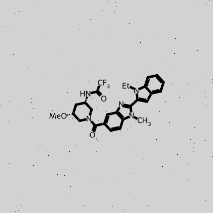 CCn1c(-c2nc3cc(C(=O)N4C[C@H](NC(=O)C(F)(F)F)C[C@@H](OC)C4)ccc3n2C)cc2ccccc21